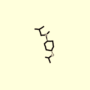 CC(C)CN(C)[C@H]1CC[C@H](OC(C)C)CC1